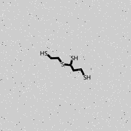 SCCSC(S)CCS